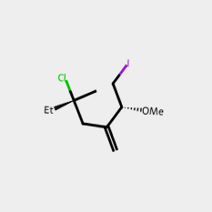 C=C(C[C@@](C)(Cl)CC)[C@H](CI)OC